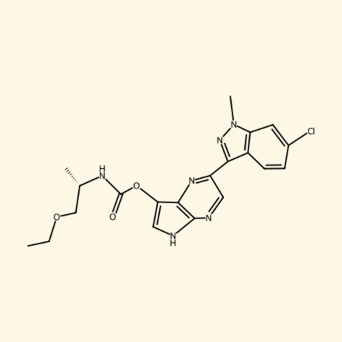 CCOC[C@H](C)NC(=O)Oc1c[nH]c2ncc(-c3nn(C)c4cc(Cl)ccc34)nc12